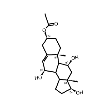 CC(=O)O[C@H]1CC[C@@]2(C)C(=C[C@H](O)C3C2[C@@H](O)C[C@@]2(C)C3CC[C@@H]2O)C1